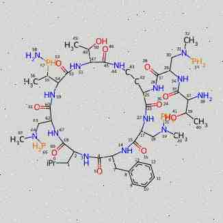 CC(C)CC1NC(=O)C(Cc2ccccc2)NC(=O)C(CN(C)P)NC(=O)C(NC(=O)C(CN(C)P)NC(=O)C(N)C(C)O)CCNC(=O)C(C(C)O)NC(=O)C(C(C)PN)NC(=O)C(CN(C)P)NC1=O